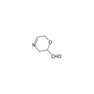 O=CC1CN=CCO1